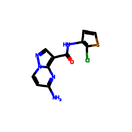 Nc1ccn2ncc(C(=O)Nc3ccsc3Cl)c2n1